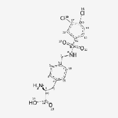 N[C@@H](Cc1ccc(CNS(=O)(=O)c2ccc(Cl)c(Cl)c2)cc1)C(=O)O